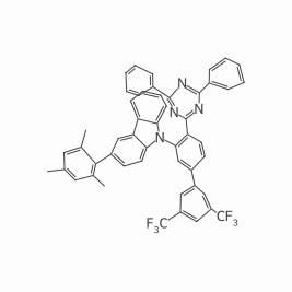 Cc1cc(C)c(-c2ccc3c(c2)c2ccccc2n3-c2cc(-c3cc(C(F)(F)F)cc(C(F)(F)F)c3)ccc2-c2nc(-c3ccccc3)nc(-c3ccccc3)n2)c(C)c1